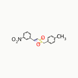 Cc1ccc(CS(=O)(=O)/C=C/c2cccc([N+](=O)[O-])c2)cc1